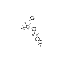 CN(C(=O)c1cccc(-n2nc(C(F)(F)F)c(Cl)c2COc2ccon2)c1)c1ccc2c(c1)OC(F)(F)O2